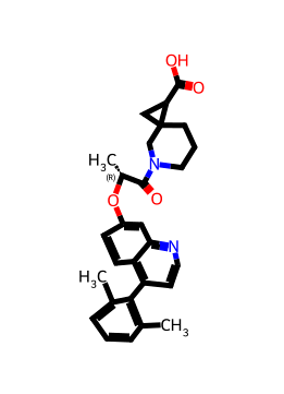 Cc1cccc(C)c1-c1ccnc2cc(O[C@H](C)C(=O)N3CCCC4(CC4C(=O)O)C3)ccc12